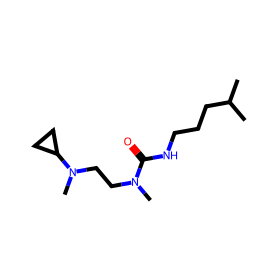 CC(C)CCCNC(=O)N(C)CCN(C)C1CC1